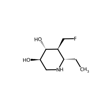 CC[C@@H]1NC[C@@H](O)[C@H](O)[C@H]1CF